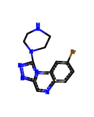 Brc1ccc2ncc3nnc(N4CCNCC4)n3c2c1